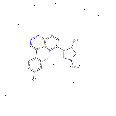 O=CN1CC(O)C(c2cnc3cncc(-c4ccc(C(F)(F)F)cc4F)c3n2)C1